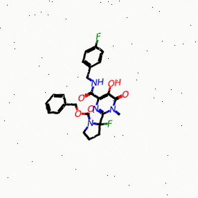 Cn1c(C2(F)CCCN2C(=O)OCc2ccccc2)nc(C(=O)NCc2ccc(F)cc2)c(O)c1=O